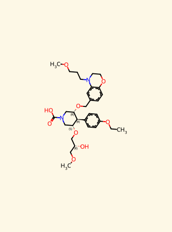 CCOc1ccc([C@@H]2[C@@H](OCc3ccc4c(c3)N(CCCOC)CCO4)CN(C(=O)O)C[C@H]2OC[C@H](O)COC)cc1